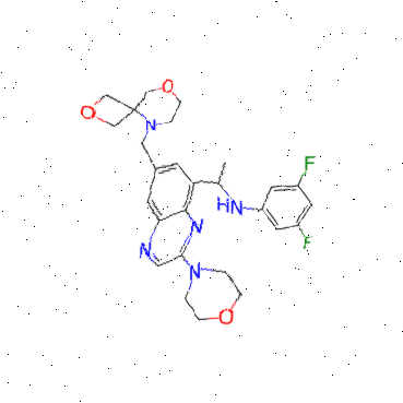 CC(Nc1cc(F)cc(F)c1)c1cc(CN2CCOCC23COC3)cc2ncc(N3CCOCC3)nc12